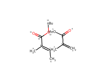 C=C(C)C(=O)OC.CC=C(C)C(=O)OCCCC